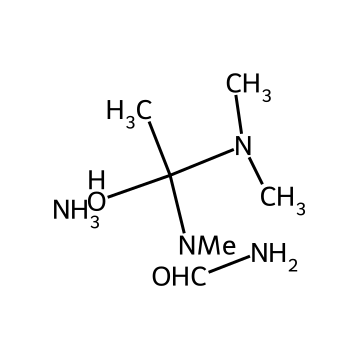 CNC(C)(O)N(C)C.N.NC=O